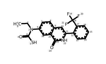 CCN(C(=O)S)c1ccc2cc(-c3ccccc3C(F)(F)F)[nH]c(=O)c2c1